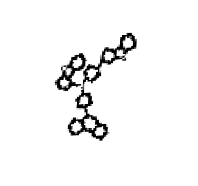 c1ccc2c(c1)cc(-c1ccc(N(c3ccc(-c4ccc5c(c4)sc4ccccc45)cc3)c3cccc4oc5ccccc5c34)cc1)c1ccccc12